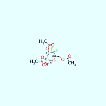 CC(=O)OC[C@H]1O[C@H](Br)[C@H](OC(C)=O)[C@@H](OC(C)=O)C1(F)F